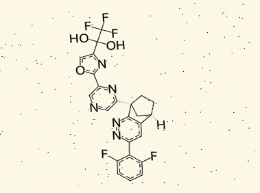 OC(O)(c1coc(-c2cncc([C@]34CC[C@H](C3)c3cc(-c5c(F)cccc5F)nnc34)n2)n1)C(F)(F)F